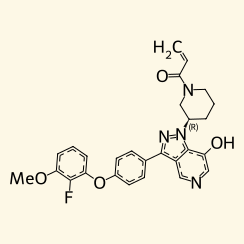 C=CC(=O)N1CCC[C@@H](n2nc(-c3ccc(Oc4cccc(OC)c4F)cc3)c3cncc(O)c32)C1